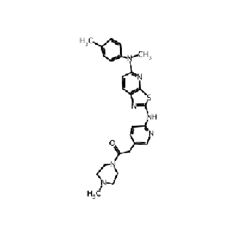 Cc1ccc(N(C)c2ccc3nc(Nc4ccc(CC(=O)N5CCN(C)CC5)cn4)sc3n2)cc1